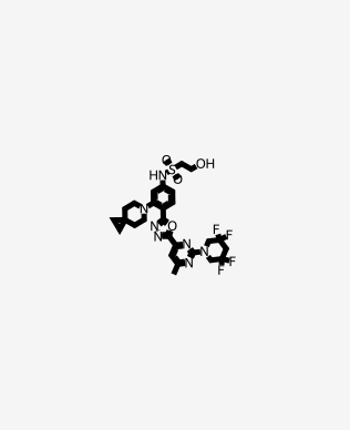 Cc1cc(-c2nnc(-c3ccc(NS(=O)(=O)CCO)cc3N3CCC4(CC3)CC4)o2)nc(N2CC(F)(F)CC(F)(F)C2)n1